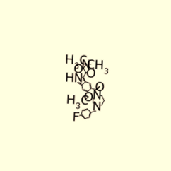 COc1cc2c[nH]c(C(=O)C(=O)N(C)C)c2cc1C(=O)N1CCCN(Cc2ccc(F)cc2)CC1